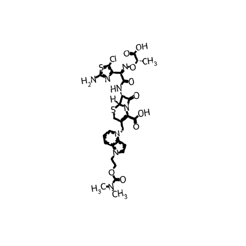 C[C@H](O/N=C(\C(=O)N[C@@H]1C(=O)N2C(C(=O)O)=C(C[n+]3cccc4c3ccn4CCOC(=O)N(C)C)CS[C@H]12)c1nc(N)sc1Cl)C(=O)O